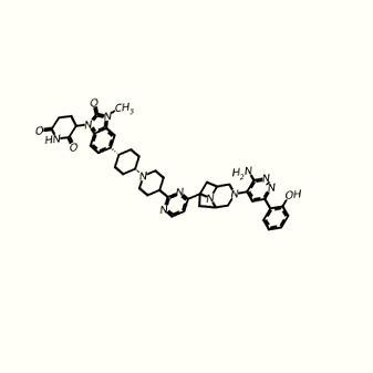 Cn1c(=O)n(C2CCC(=O)NC2=O)c2ccc([C@H]3CC[C@@H](N4CCC(c5nccc(C67CC8CN(c9cc(-c%10ccccc%10O)nnc9N)CC(C6)N87)n5)CC4)CC3)cc21